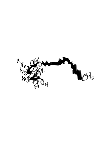 CCCCCCCC/C=C\CCCCCCCCOC[C@H]1O[C@H](O[C@]2(CO)O[C@H](CO)[C@@H](O)[C@@H]2O)[C@H](O)[C@@H](O)[C@@H]1O